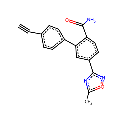 C#Cc1ccc(-c2cc(-c3noc(C(F)(F)F)n3)ccc2C(N)=O)cc1